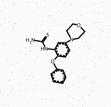 NC(=S)Nc1cc(N2CCOCC2)ccc1Oc1ccccc1